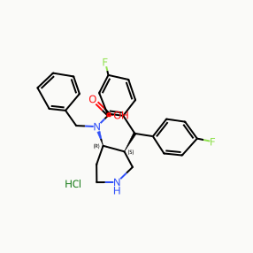 Cl.O=C(O)N(Cc1ccccc1)[C@@H]1CCNC[C@@H]1C(c1ccc(F)cc1)c1ccc(F)cc1